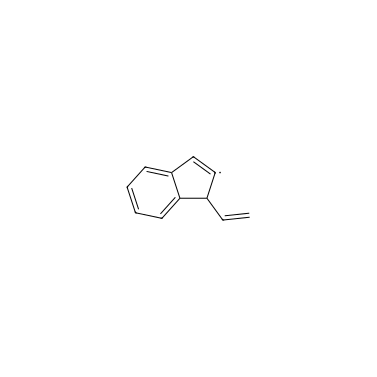 C=CC1[C]=Cc2ccccc21